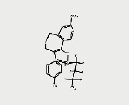 COc1ccc2c(c1)CCCC(c1ccc(C#N)cc1)=C2OS(=O)(=O)C(F)(F)C(F)(F)C(F)(F)C(F)(F)F